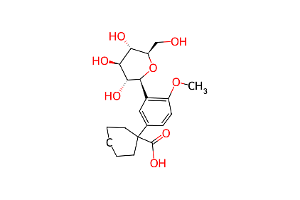 COc1ccc(C2(C(=O)O)CCCCC2)cc1[C@@H]1O[C@H](CO)[C@@H](O)[C@H](O)[C@H]1O